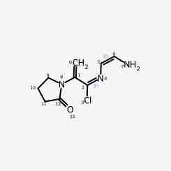 C=C(/C(Cl)=N\C=C/N)N1CCCC1=O